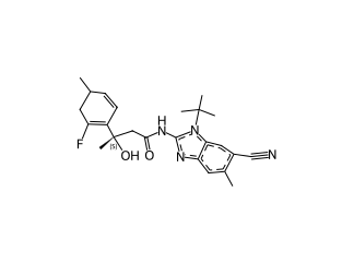 Cc1cc2nc(NC(=O)C[C@](C)(O)C3=C(F)CC(C)C=C3)n(C(C)(C)C)c2cc1C#N